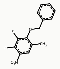 Cc1cc([N+](=O)[O-])c(F)c(F)c1OCc1ccccc1